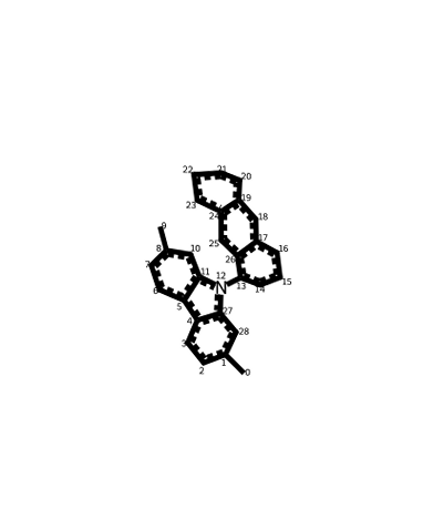 Cc1ccc2c3ccc(C)cc3n(-c3cccc4cc5ccccc5cc34)c2c1